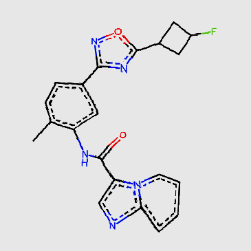 Cc1ccc(-c2noc(C3CC(F)C3)n2)cc1NC(=O)c1cnc2ccccn12